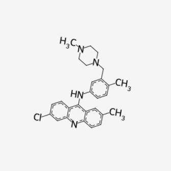 Cc1ccc2nc3cc(Cl)ccc3c(Nc3ccc(C)c(CN4CCN(C)CC4)c3)c2c1